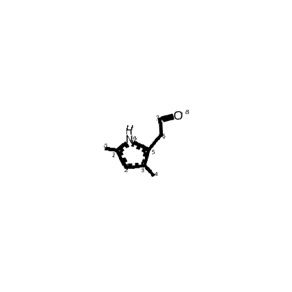 Cc1cc(C)c(CC=O)[nH]1